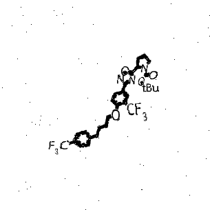 CC(C)(C)OC(=O)N1CCCC1c1nc(-c2ccc(OCCCCc3ccc(C(F)(F)F)cc3)c(C(F)(F)F)c2)no1